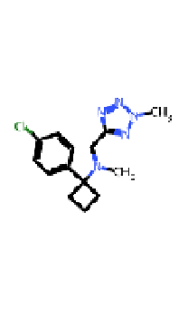 CN(Cc1nnn(C)n1)C1(c2ccc(Cl)cc2)CCC1